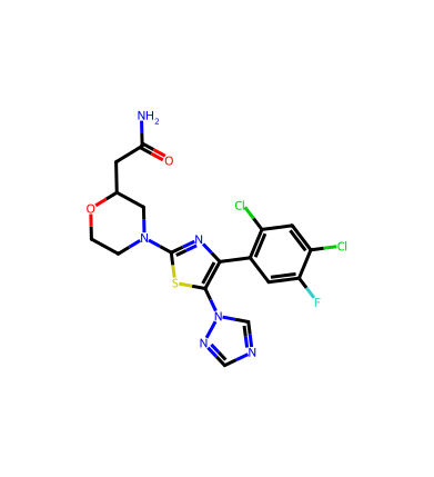 NC(=O)CC1CN(c2nc(-c3cc(F)c(Cl)cc3Cl)c(-n3cncn3)s2)CCO1